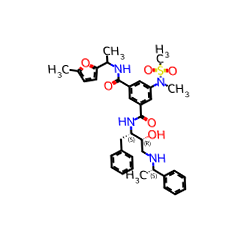 Cc1ccc(C(C)NC(=O)c2cc(C(=O)N[C@@H](Cc3ccccc3)[C@H](O)CN[C@@H](C)c3ccccc3)cc(N(C)S(C)(=O)=O)c2)o1